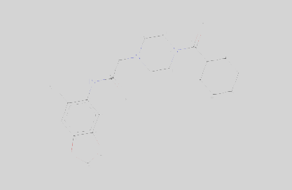 CC(=O)c1cc2c(cc1NC(=O)CN1CCN(C(=O)C3CCCCC3)CC1)OCO2